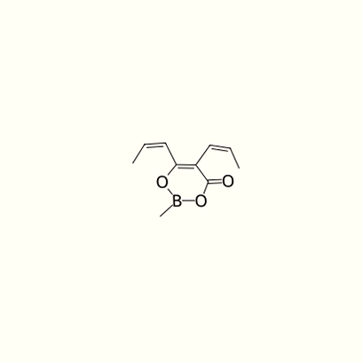 C/C=C\C1=C(/C=C\C)C(=O)OB(C)O1